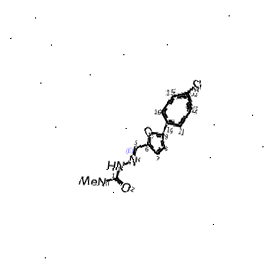 CNC(=O)N/N=C/c1ccc(-c2ccc(Cl)cc2)o1